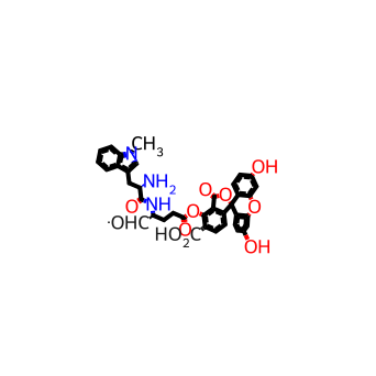 Cn1cc(C[C@H](N)C(=O)N[C@H]([C]=O)CCC(=O)Oc2c(C(=O)O)ccc3c2C(=O)OC32c3ccc(O)cc3Oc3cc(O)ccc32)c2ccccc21